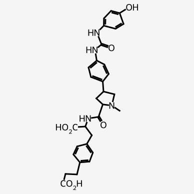 CN1CC(c2ccc(NC(=O)Nc3ccc(O)cc3)cc2)CC1C(=O)NC(Cc1ccc(CCC(=O)O)cc1)C(=O)O